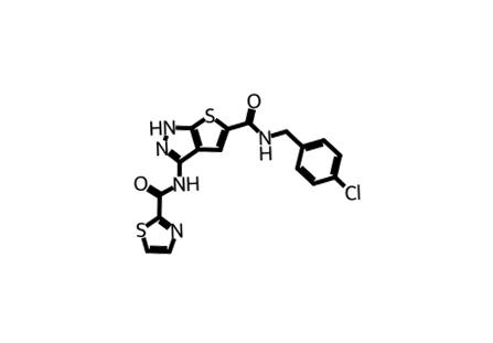 O=C(NCc1ccc(Cl)cc1)c1cc2c(NC(=O)c3nccs3)n[nH]c2s1